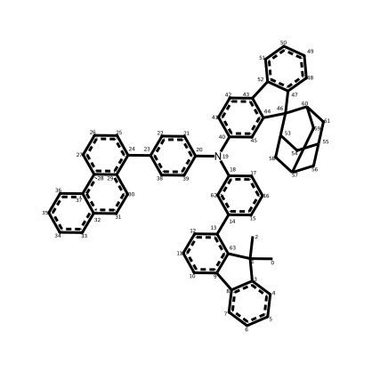 CC1(C)c2ccccc2-c2cccc(-c3cccc(N(c4ccc(-c5cccc6c5ccc5ccccc56)cc4)c4ccc5c(c4)C4(c6ccccc6-5)C5CC6CC(C5)CC4C6)c3)c21